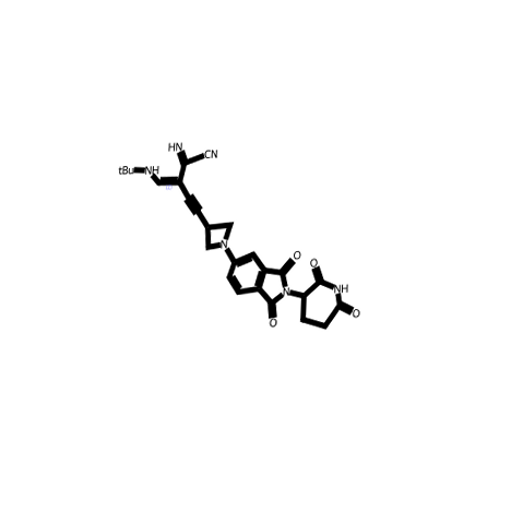 CC(C)(C)N/C=C(/C#CC1CN(c2ccc3c(c2)C(=O)N(C2CCC(=O)NC2=O)C3=O)C1)C(=N)C#N